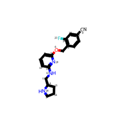 N#Cc1ccc(COc2cccc(NCC3CCCN3)n2)c(F)c1